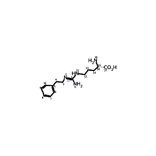 N/C(=N\CCc1ccccc1)NCCC[C@H](N)C(=O)O